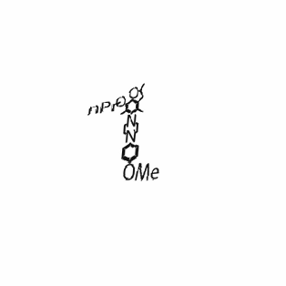 CCCOc1c(C)c(N2CCN(c3ccc(OC)cc3)CC2)c(C)c2c1OC(C)C2